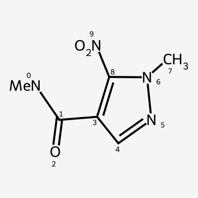 CNC(=O)c1cnn(C)c1[N+](=O)[O-]